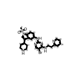 CS(=O)(=O)n1cc(C2=CCNCC2)c2cc(Nc3ncc(Br)c(NCCc4ccccn4)n3)ccc21